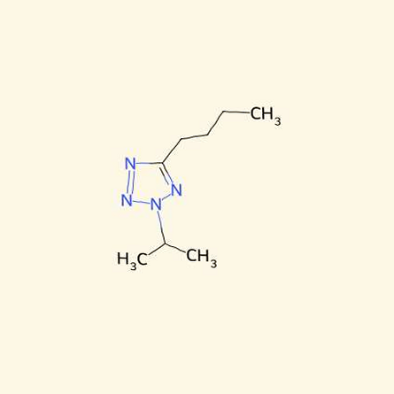 CCCCc1nnn(C(C)C)n1